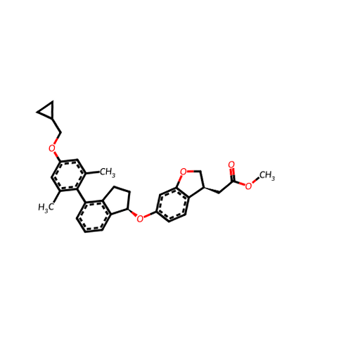 COC(=O)C[C@@H]1COc2cc(O[C@@H]3CCc4c(-c5c(C)cc(OCC6CC6)cc5C)cccc43)ccc21